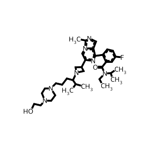 CCN(C(=O)c1cc(F)ccc1-c1nc(C2CN(C(CCCN3CCN(CCO)CC3)C(C)C)C2)cn2c(C)ncc12)C(C)C